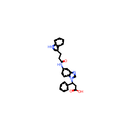 O=C(O)CC(c1ccccc1)n1cnc2cc(NC(=O)CCc3c[nH]c4ccccc34)ccc21